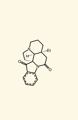 CC[C@]12CCCN3CC[C@]4(C(=O)c5ccccc5N4C(=O)C1)[C@@H]32